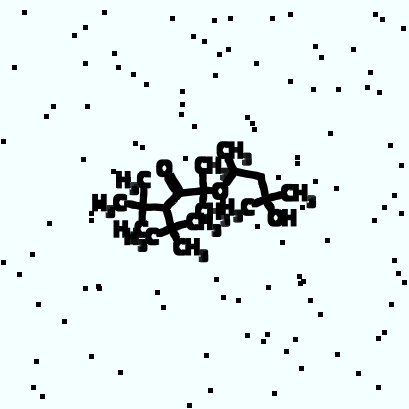 CC(CC(C)(C)O)OC(C)(C)C(=O)C(C(C)(C)C)C(C)(C)C